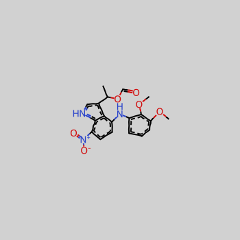 COc1cccc(Nc2ccc([N+](=O)[O-])c3[nH]cc(C(C)OC=O)c23)c1OC